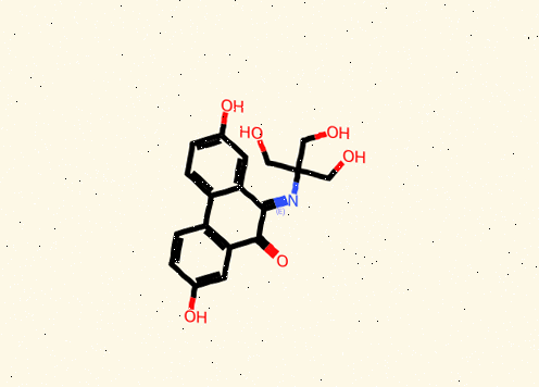 O=C1/C(=N/C(CO)(CO)CO)c2cc(O)ccc2-c2ccc(O)cc21